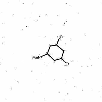 CCC1CC(NC)CC(C(C)C)C1